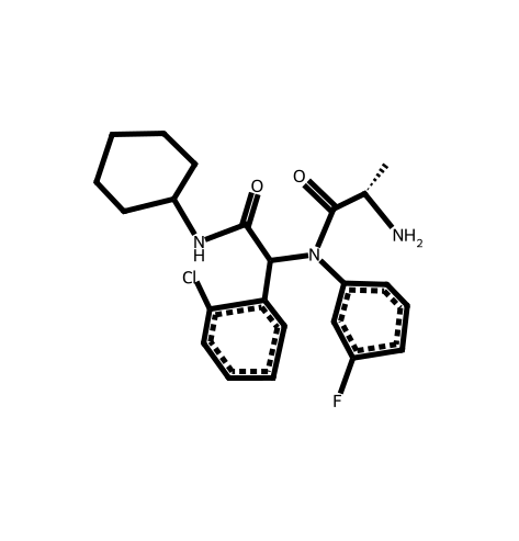 C[C@H](N)C(=O)N(c1cccc(F)c1)C(C(=O)NC1CCCCC1)c1ccccc1Cl